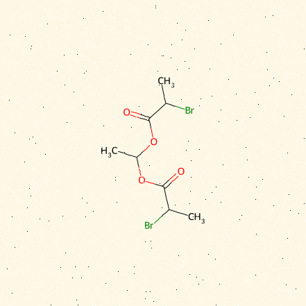 CC(OC(=O)C(C)Br)OC(=O)C(C)Br